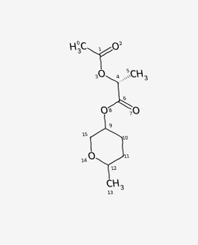 CC(=O)O[C@H](C)C(=O)OC1CCC(C)OC1